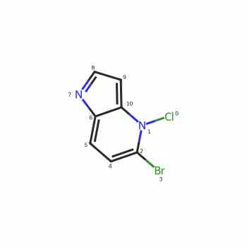 Cln1c(Br)ccc2nccc1-2